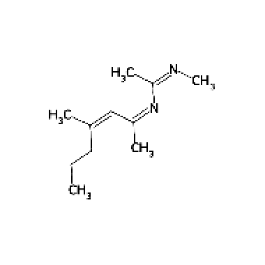 CCC\C(C)=C/C(C)=N\C(C)=N/C